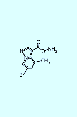 Cc1cc(Br)cn2ncc(C(=O)ON)c12